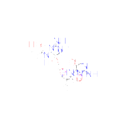 CCC[C@@H](CO)Nc1nc(N)ncc1OCCOCC(CC)C(COC)Nc1nc(N)ncc1OC